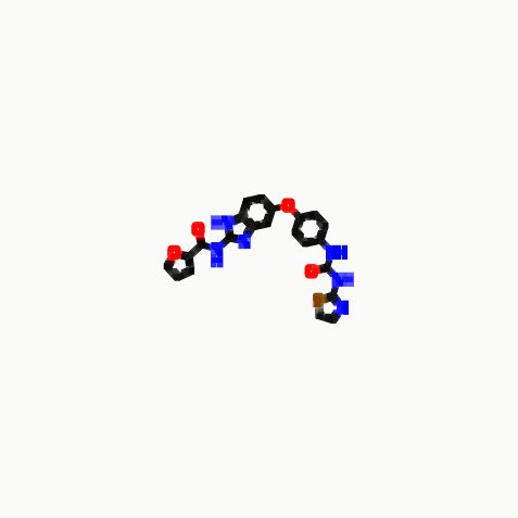 O=C(Nc1ccc(Oc2ccc3[nH]c(NC(=O)c4ccco4)nc3c2)cc1)Nc1nccs1